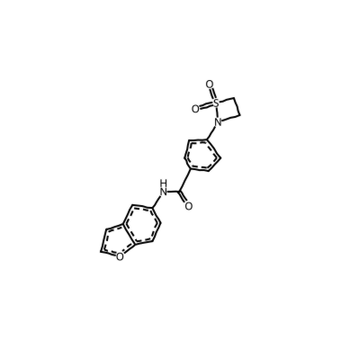 O=C(Nc1ccc2occc2c1)c1ccc(N2CCS2(=O)=O)cc1